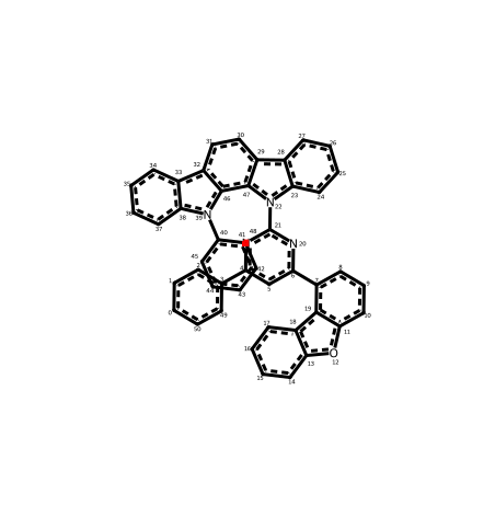 c1ccc(-c2cc(-c3cccc4oc5ccccc5c34)nc(-n3c4ccccc4c4ccc5c6ccccc6n(-c6ccccc6)c5c43)n2)cc1